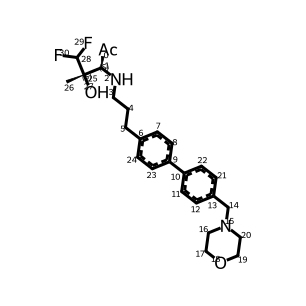 CC(=O)[C@@H](NCCCc1ccc(-c2ccc(CN3CCOCC3)cc2)cc1)[C@](C)(O)C(F)F